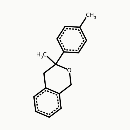 Cc1ccc(C2(C)Cc3ccccc3CO2)cc1